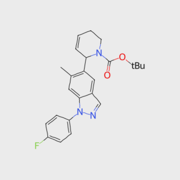 Cc1cc2c(cnn2-c2ccc(F)cc2)cc1C1C=CCCN1C(=O)OC(C)(C)C